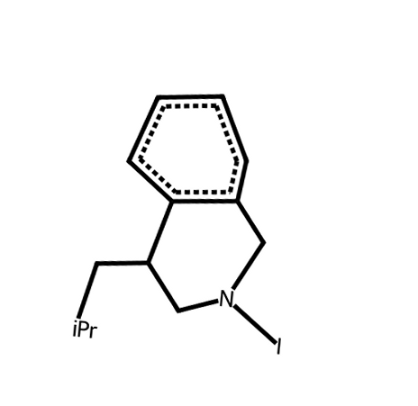 CC(C)CC1CN(I)Cc2ccccc21